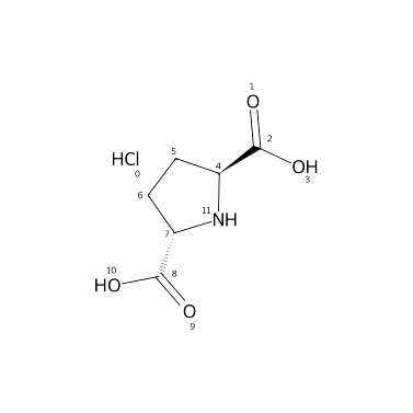 Cl.O=C(O)[C@@H]1CC[C@@H](C(=O)O)N1